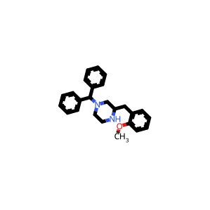 COc1ccccc1CC1CN(C(c2ccccc2)c2ccccc2)CCN1